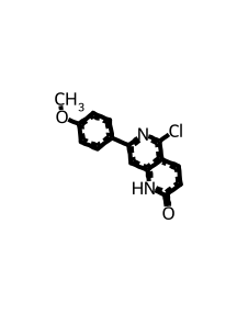 COc1ccc(-c2cc3[nH]c(=O)ccc3c(Cl)n2)cc1